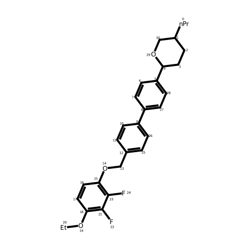 CCCC1CCC(c2ccc(-c3ccc(COc4ccc(OCC)c(F)c4F)cc3)cc2)OC1